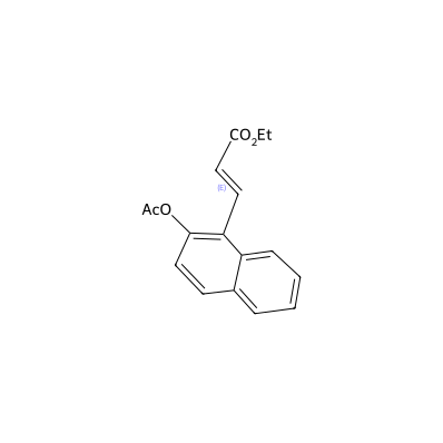 CCOC(=O)/C=C/c1c(OC(C)=O)ccc2ccccc12